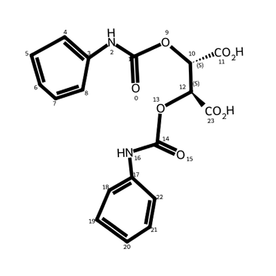 O=C(Nc1ccccc1)O[C@H](C(=O)O)[C@H](OC(=O)Nc1ccccc1)C(=O)O